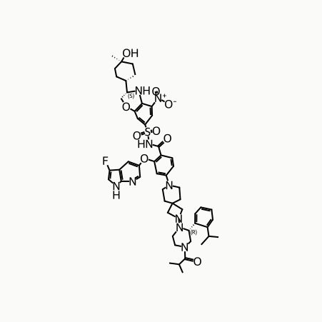 CC(C)C(=O)N1CCN(N2CC3(CCN(c4ccc(C(=O)NS(=O)(=O)c5cc6c(c([N+](=O)[O-])c5)N[C@@H]([C@H]5CC[C@](C)(O)CC5)CO6)c(Oc5cnc6[nH]cc(F)c6c5)c4)CC3)C2)[C@H](c2ccccc2C(C)C)C1